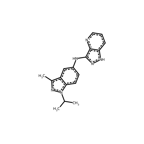 Cc1nn(C(C)C)c2ccc(Nc3n[nH]c4cccnc34)cc12